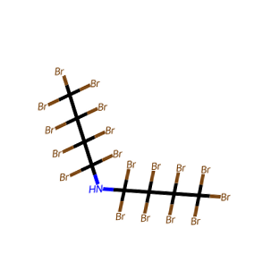 BrC(Br)(Br)C(Br)(Br)C(Br)(Br)C(Br)(Br)NC(Br)(Br)C(Br)(Br)C(Br)(Br)C(Br)(Br)Br